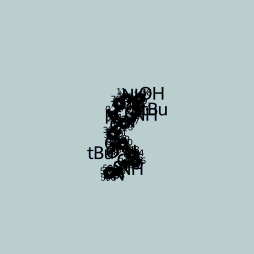 Cc1ncsc1-c1ccc([C@H](C)NC(=O)[C@@H]2C[C@@H](O)CN2C(=O)[C@@H](NC(=O)CN2CCC(Oc3cccc(-c4ccc(N5CCc6cccc(C(=O)Nc7nc8ccccc8s7)c6C5)nc4C(=O)OC(C)(C)C)c3C)CC2)C(C)(C)C)cc1